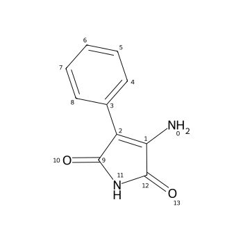 NC1=C(c2ccccc2)C(=O)NC1=O